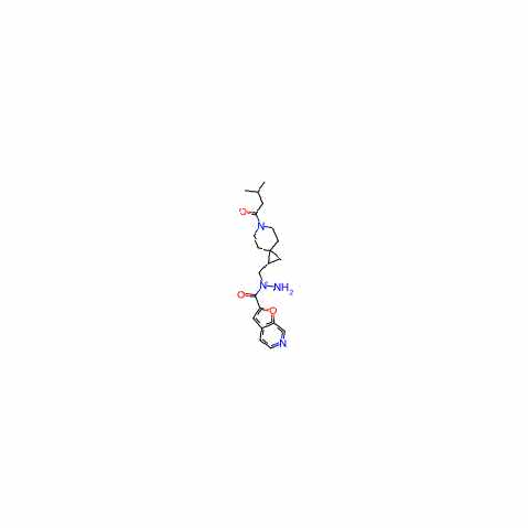 CC(C)CC(=O)N1CCC2(CC1)CC2CN(N)C(=O)c1cc2ccncc2o1